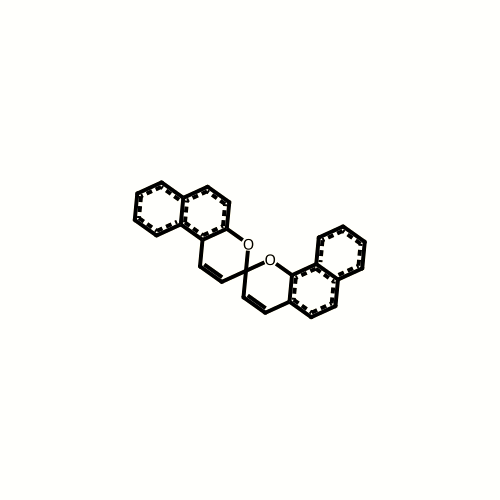 C1=CC2(C=Cc3c(ccc4ccccc34)O2)Oc2c1ccc1ccccc21